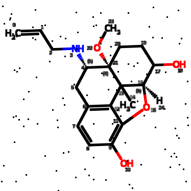 C=CCN[C@H]1Cc2ccc(O)c3c2C2(C)[C@H](O3)C(O)CC[C@]12OC